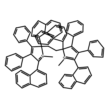 C[Si]1=C(c2cccc3ccccc23)C(c2ccccc2)=C(c2ccccc2)C1(CCC1(c2cccc3ccccc23)C(c2ccccc2)=C(c2ccccc2)C(c2cccc3ccccc23)=[Si]1C)c1cccc2ccccc12